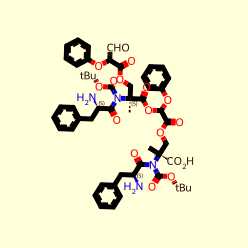 CC(C)(C)OC(=O)N(C(=O)[C@@H](N)Cc1ccccc1)[C@@](C)(COC(=O)C(OC(=O)[C@](C)(COC(=O)C(C=O)Oc1ccccc1)N(C(=O)OC(C)(C)C)C(=O)[C@@H](N)Cc1ccccc1)Oc1ccccc1)C(=O)O